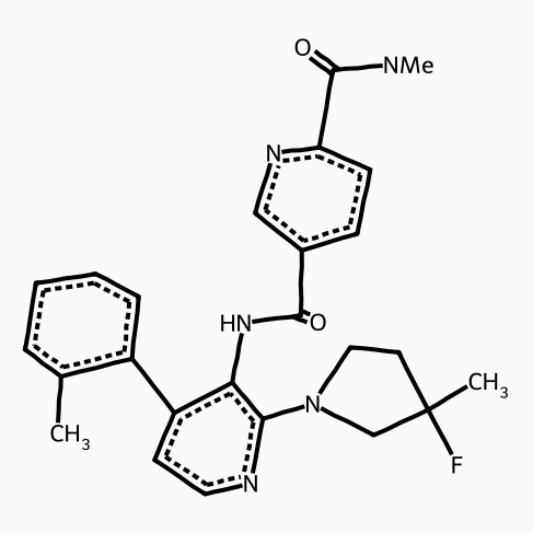 CNC(=O)c1ccc(C(=O)Nc2c(-c3ccccc3C)ccnc2N2CCC(C)(F)C2)cn1